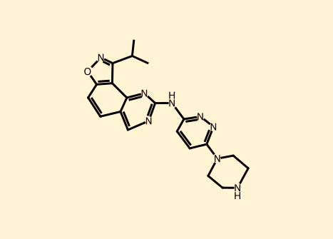 CC(C)c1noc2ccc3cnc(Nc4ccc(N5CCNCC5)nn4)nc3c12